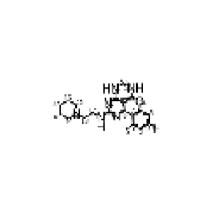 Cc1cc(F)ccc1-c1nc(NCCN2CCCCC2)nc2c1C(=O)NCN2